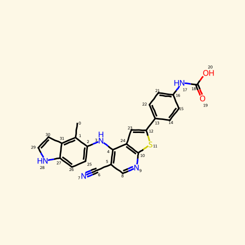 Cc1c(Nc2c(C#N)cnc3sc(-c4ccc(NC(=O)O)cc4)cc23)ccc2[nH]ccc12